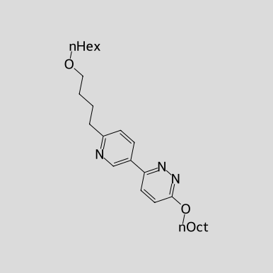 CCCCCCCCOc1ccc(-c2ccc(CCCCOCCCCCC)nc2)nn1